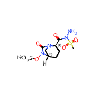 CS(=O)(=O)N(N)C(=O)[C@H]1CC[C@H]2CN1C(=O)N2OS(=O)(=O)O